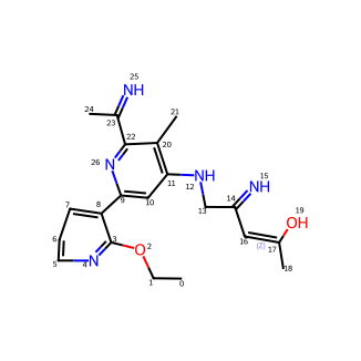 CCOc1ncccc1-c1cc(NCC(=N)/C=C(/C)O)c(C)c(C(C)=N)n1